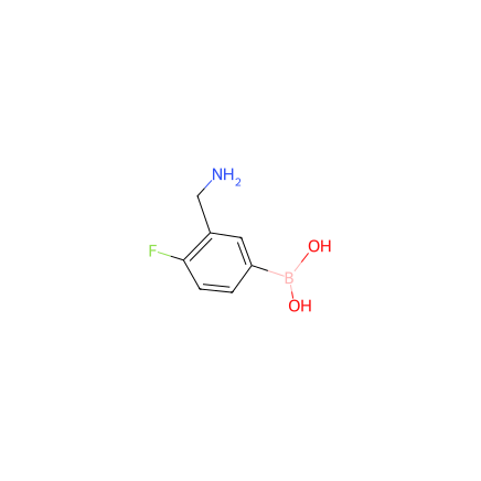 NCc1cc(B(O)O)ccc1F